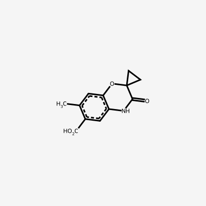 Cc1cc2c(cc1C(=O)O)NC(=O)C1(CC1)O2